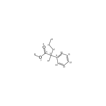 CCCC(C)(C(=O)OC)c1ccccc1